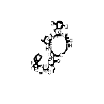 CC[C@H](NC(=O)C1(C(F)(F)F)CC2CCC1C2)C(=O)N[C@@H](CC)C(=O)N(C)[C@H]1CCCCNC(=O)C(C)(C)NC(=O)[C@H](Cc2cc(Cl)ccc2Cl)N(C)C(=O)[C@H](CC(C)C)NC1=O